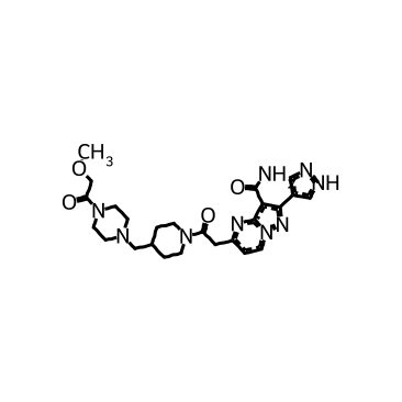 COCC(=O)N1CCN(CC2CCN(C(=O)Cc3ccn4nc(-c5cn[nH]c5)c(C(N)=O)c4n3)CC2)CC1